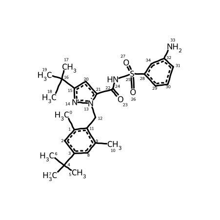 Cc1cc(C(C)(C)C)cc(C)c1Cn1nc(C(C)(C)C)cc1C(=O)NS(=O)(=O)c1cccc(N)c1